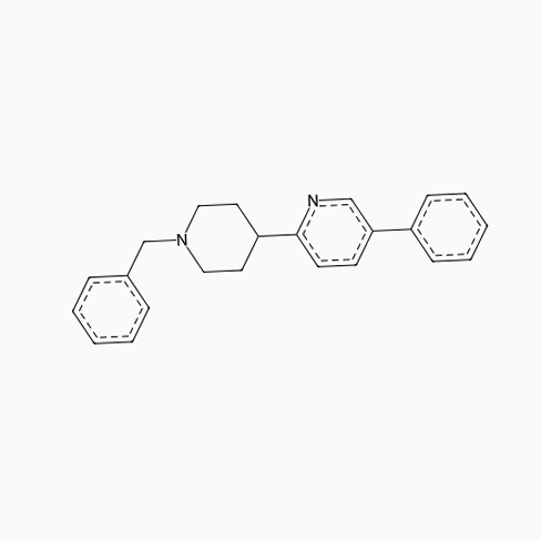 c1ccc(CN2CCC(c3ccc(-c4ccccc4)cn3)CC2)cc1